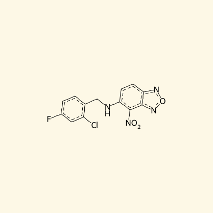 O=[N+]([O-])c1c(NCc2ccc(F)cc2Cl)ccc2nonc12